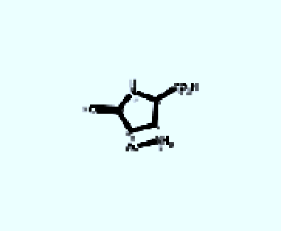 CC(N)=O.O=C1CCC(C(=O)O)N1